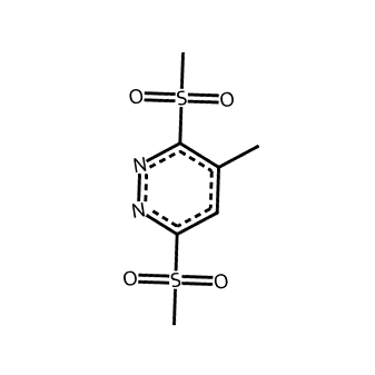 Cc1cc(S(C)(=O)=O)nnc1S(C)(=O)=O